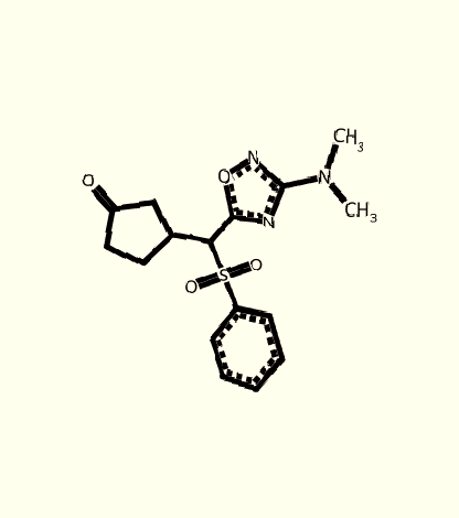 CN(C)c1noc(C(C2CCC(=O)C2)S(=O)(=O)c2ccccc2)n1